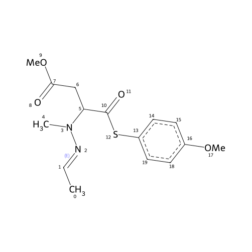 C/C=N/N(C)C(CC(=O)OC)C(=O)Sc1ccc(OC)cc1